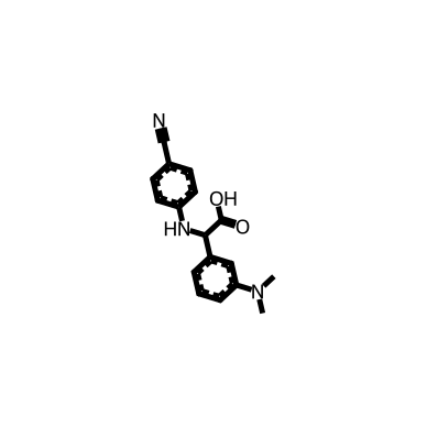 CN(C)c1cccc(C(Nc2ccc(C#N)cc2)C(=O)O)c1